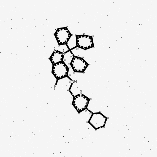 Fc1cc2cnn(C(c3ccccc3)(c3ccccc3)c3ccccc3)c2cc1NCc1ccc(C2CCCCC2)cn1